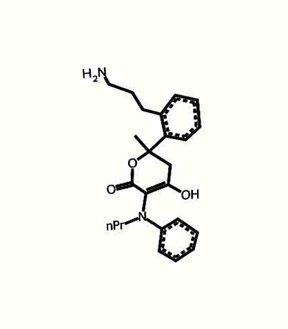 CCCN(C1=C(O)CC(C)(c2ccccc2CCCN)OC1=O)c1ccccc1